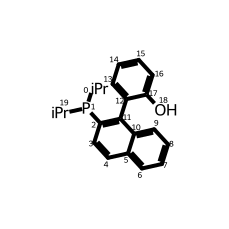 CC(C)P(c1ccc2ccccc2c1-c1ccccc1O)C(C)C